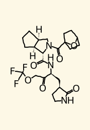 O=C1NCC[C@H]1C[C@H](NC(=O)[C@@H]1[C@H]2CCC[C@H]2CN1C(=O)C12CCC(CC1)O2)C(=O)COC(F)(F)F